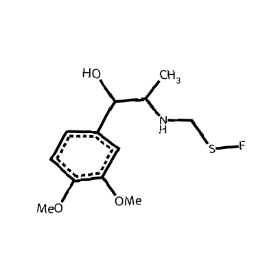 COc1ccc(C(O)C(C)NCSF)cc1OC